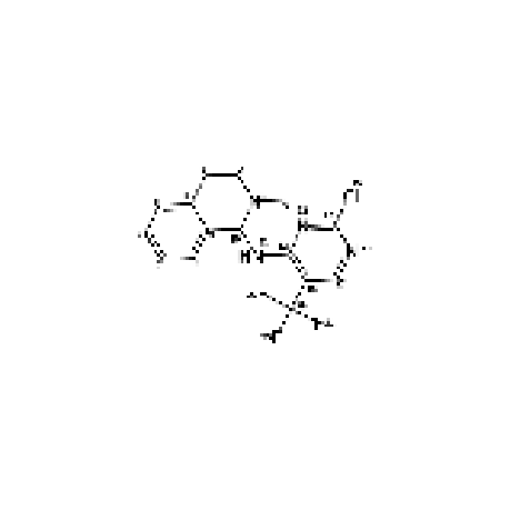 CN1CCc2ccccc2C1Nc1nc(Cl)ncc1C(F)(F)F